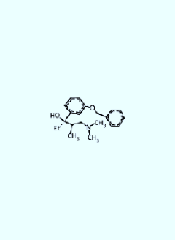 CC[C@](O)(c1cccc(OCc2ccccc2)c1)[C@H](C)CN(C)C